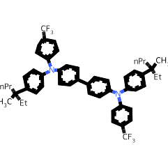 CCCC(C)(CC)c1ccc(N(c2ccc(-c3ccc(N(c4ccc(C(F)(F)F)cc4)c4ccc(C(C)(CC)CCC)cc4)cc3)cc2)c2ccc(C(F)(F)F)cc2)cc1